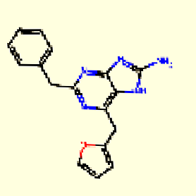 Nc1nc2nc(Cc3ccccc3)nc(Cc3ccco3)c2[nH]1